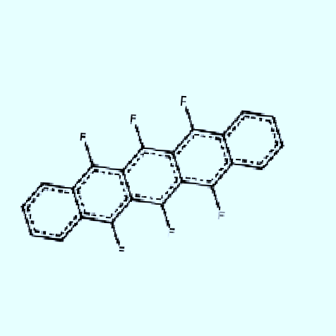 Fc1c2ccccc2c(F)c2c(F)c3c(F)c4ccccc4c(F)c3c(F)c12